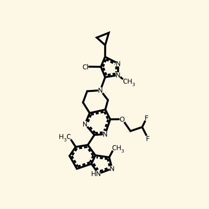 Cc1ccc2[nH]nc(C)c2c1-c1nc2c(c(OCC(F)F)n1)CN(c1c(Cl)c(C3CC3)nn1C)CC2